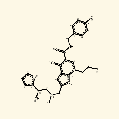 CN(Cc1cc2c(=O)c(C(=O)NCc3ccc(Cl)cc3)cn(CCO)c2s1)C[C@@H](O)c1ccco1